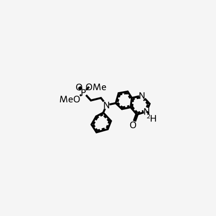 [2H]n1cnc2ccc(N(CCP(=O)(OC)OC)c3ccccc3)cc2c1=O